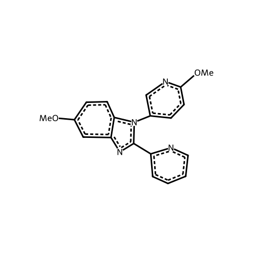 COc1ccc2c(c1)nc(-c1ccccn1)n2-c1ccc(OC)nc1